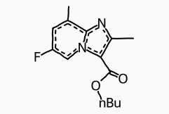 CCCCOC(=O)c1c(C)nc2c(C)cc(F)cn12